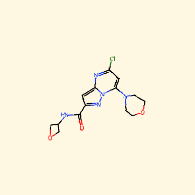 O=C(NC1COC1)c1cc2nc(Cl)cc(N3CCOCC3)n2n1